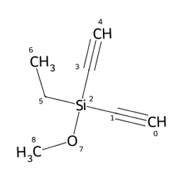 C#C[Si](C#C)(CC)OC